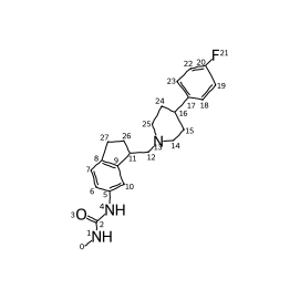 CNC(=O)Nc1ccc2c(c1)C(CN1CCC(c3ccc(F)cc3)CC1)CC2